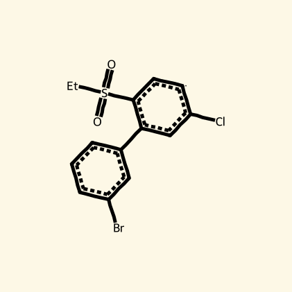 CCS(=O)(=O)c1c[c]c(Cl)cc1-c1cccc(Br)c1